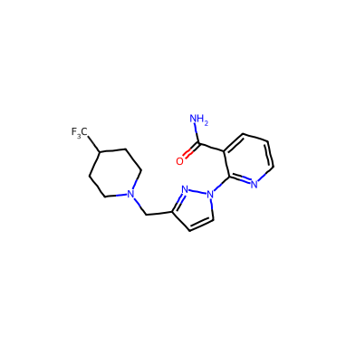 NC(=O)c1cccnc1-n1ccc(CN2CCC(C(F)(F)F)CC2)n1